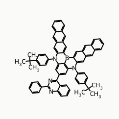 CC(C)(C)c1ccc(N2c3cc4cc5ccccc5cc4cc3B3c4cc5cc6ccccc6cc5cc4N(c4ccc(C(C)(C)C)cc4)c4cc(-c5nc(-c6ccccc6)nc6ccccc56)cc2c43)cc1